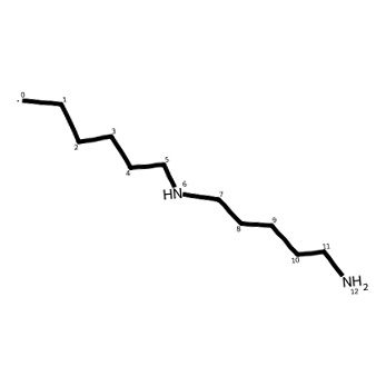 [CH2]CCCCCNCCCCCN